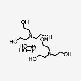 CC(C)O.CC(C)O.OCCN(CCO)CCO.OCCN(CCO)CCO